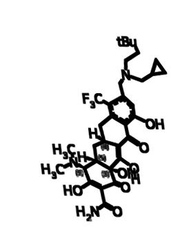 CN(C)[C@@H]1C(O)=C(C(N)=O)C(=O)[C@@]2(O)C(O)=C3C(=O)c4c(O)cc(CN(CCC(C)(C)C)CC5CC5)c(C(F)(F)F)c4C[C@H]3C[C@@H]12